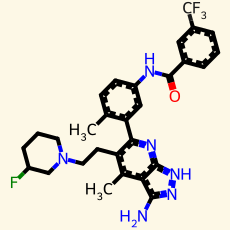 Cc1ccc(NC(=O)c2cccc(C(F)(F)F)c2)cc1-c1nc2[nH]nc(N)c2c(C)c1CCN1CCCC(F)C1